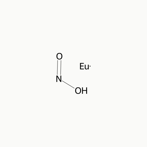 O=NO.[Eu]